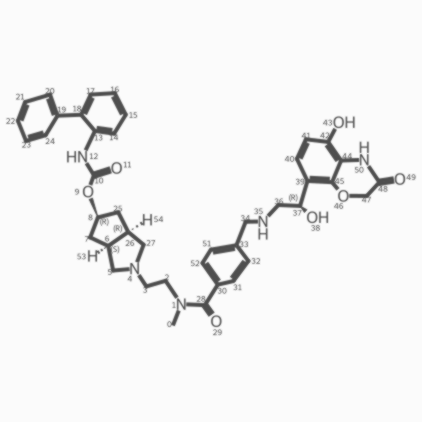 CN(CCN1C[C@H]2C[C@@H](OC(=O)Nc3ccccc3-c3ccccc3)C[C@H]2C1)C(=O)c1ccc(CNC[C@H](O)c2ccc(O)c3c2OCC(=O)N3)cc1